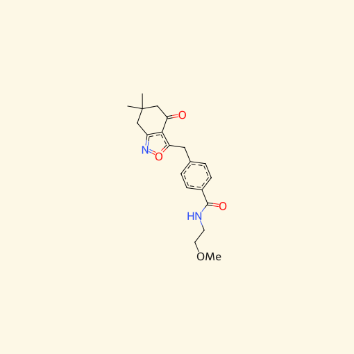 COCCNC(=O)c1ccc(Cc2onc3c2C(=O)CC(C)(C)C3)cc1